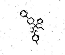 [CH2]CCC(NS(=O)(=O)c1ccc(C)cc1)(N1CCN(c2ncccn2)CC1)n1cccn1